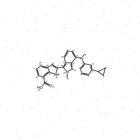 CN(c1cccc(C2CC2)c1)c1cccc2c(-c3cc4nccc(C(=O)O)c4[nH]3)n(C)nc12